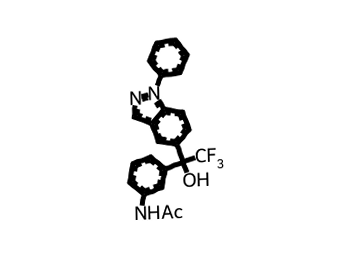 CC(=O)Nc1cccc(C(O)(c2ccc3c(cnn3-c3ccccc3)c2)C(F)(F)F)c1